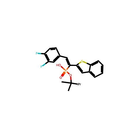 CC(C)C(C)(C)OP(=O)(O)C(=Cc1ccc(F)c(F)c1)c1cc2ccccc2s1